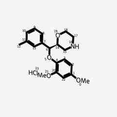 COc1ccc(OC(c2cccc(C)c2)[C@@H]2CNCCO2)c(OC)c1.Cl